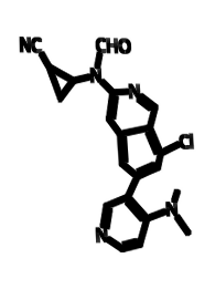 CN(C)c1ccncc1-c1cc(Cl)c2cnc(N(C=O)C3CC3C#N)cc2c1